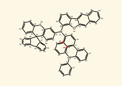 c1ccc(N(c2ccccc2)c2ccccc2-c2ccc(N(c3ccc4c(c3)Sc3ccccc3C43c4ccccc4-c4ccccc43)c3cccc4c3oc3cc5ccccc5cc34)cc2)cc1